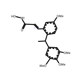 COc1ccc(C(C)c2cc(OC)c(OC)c(OC)c2)c(/C=C/C(=O)NO)c1